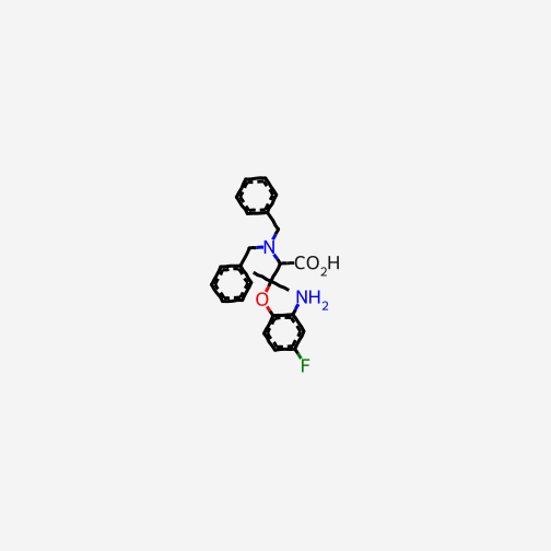 CC(C)(Oc1ccc(F)cc1N)C(C(=O)O)N(Cc1ccccc1)Cc1ccccc1